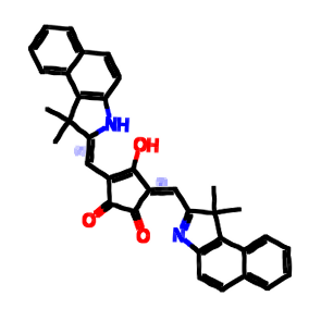 CC1(C)C(/C=C2\C(=O)C(=O)C(/C=C3\Nc4ccc5ccccc5c4C3(C)C)=C2O)=Nc2ccc3ccccc3c21